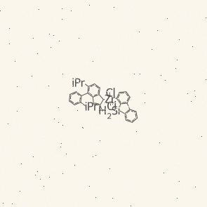 CC1=Cc2c(ccc(C(C)C)c2-c2ccccc2C(C)C)[CH]1[Zr]([Cl])([Cl])[c]1cccc2c1[SiH2]c1ccccc1-2